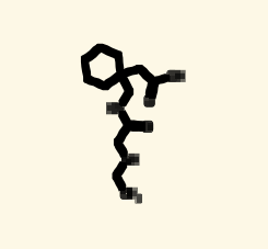 CCNCC(=O)NCC1(CC(=O)O)CCCCC1